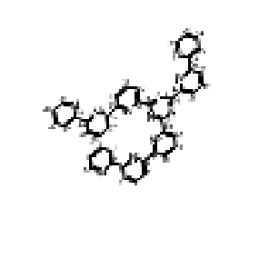 c1ccc(-c2cccc(-c3cccc(-c4nc(-c5cccc(-c6ccccn6)n5)nc(-c5cccc(-c6cccc(-c7ccccn7)n6)n5)n4)n3)n2)nc1